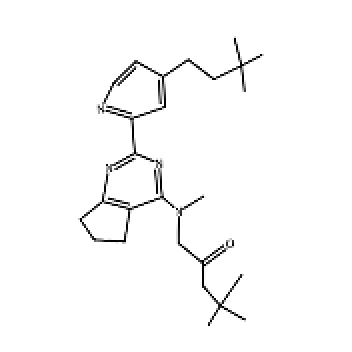 CN(CC(=O)CC(C)(C)C)c1nc(-c2cc(CCC(C)(C)C)ccn2)nc2c1CCC2